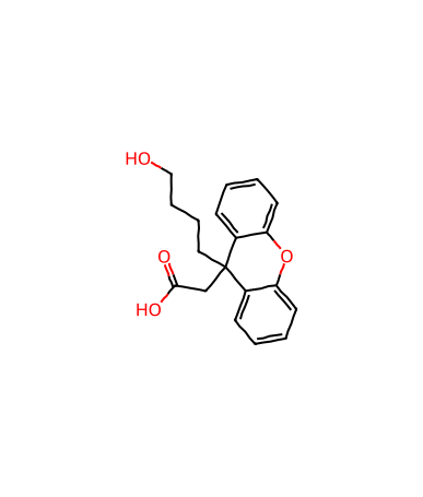 O=C(O)CC1(CCCCO)c2ccccc2Oc2ccccc21